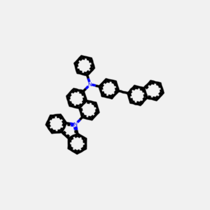 c1ccc(N(c2ccc(-c3ccc4ccccc4c3)cc2)c2cccc3c(-n4c5ccccc5c5ccccc54)cccc23)cc1